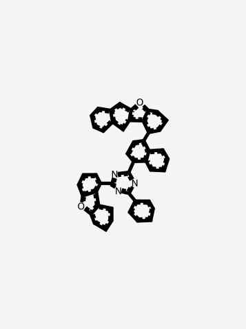 c1ccc(-c2nc(-c3ccc(-c4cccc5oc6cc7ccccc7cc6c45)c4ccccc34)nc(-c3cccc4oc5ccccc5c34)n2)cc1